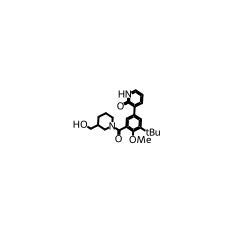 COc1c(C(=O)N2CCCC(CO)C2)cc(-c2ccc[nH]c2=O)cc1C(C)(C)C